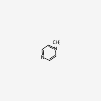 [CH].c1cnccn1